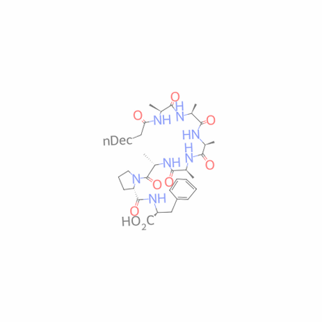 CCCCCCCCCCCC(=O)N[C@@H](C)C(=O)N[C@@H](C)C(=O)N[C@@H](C)C(=O)N[C@@H](C)C(=O)N[C@@H](C)C(=O)N1CCC[C@H]1C(=O)N[C@@H](Cc1ccccc1)C(=O)O